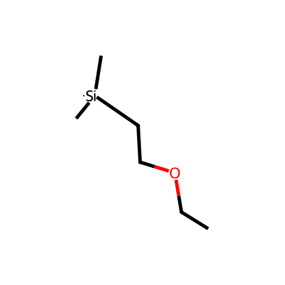 CCOCC[Si](C)C